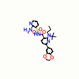 CCCN(c1nc(-c2ccc3c(c2)OCCO3)ccc1C(=O)NS(=O)(=O)c1cccnc1N)C(C)(C)C